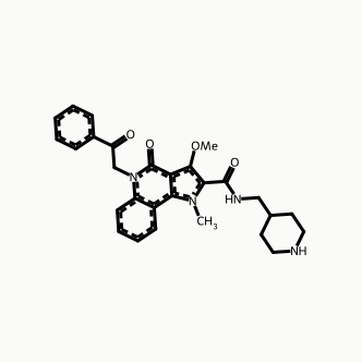 COc1c(C(=O)NCC2CCNCC2)n(C)c2c1c(=O)n(CC(=O)c1ccccc1)c1ccccc21